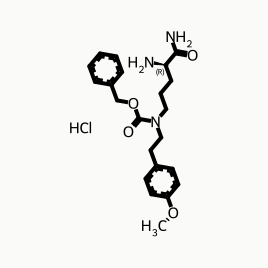 COc1ccc(CCN(CCC[C@@H](N)C(N)=O)C(=O)OCc2ccccc2)cc1.Cl